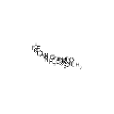 C/C(=C\c1ccc(-c2ncn(-c3ccc(OC(F)(F)F)cc3)n2)cc1)NC(=O)/N=C1\SCCN1c1c(C)cccc1C